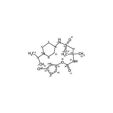 CC(C)N1CCC(NS(=O)(=O)CC(C)(C)NC(=O)Oc2ccc(Cl)s2)CC1